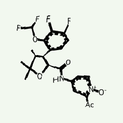 CC(=O)c1cc(NC(=O)[C@H]2OC(C)(C)[C@@H](C)[C@H]2c2ccc(F)c(F)c2OC(F)F)cc[n+]1[O-]